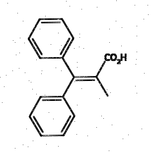 CC(C(=O)O)=C(c1ccccc1)c1ccccc1